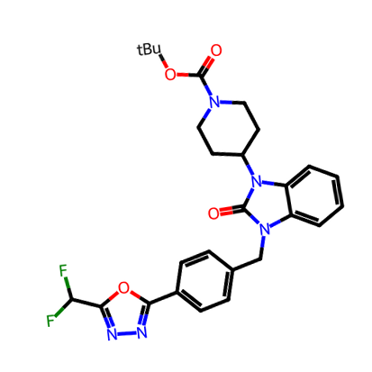 CC(C)(C)OC(=O)N1CCC(n2c(=O)n(Cc3ccc(-c4nnc(C(F)F)o4)cc3)c3ccccc32)CC1